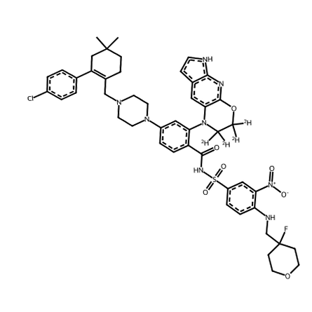 [2H]C1([2H])Oc2nc3[nH]ccc3cc2N(c2cc(N3CCN(CC4=C(c5ccc(Cl)cc5)CC(C)(C)CC4)CC3)ccc2C(=O)NS(=O)(=O)c2ccc(NCC3(F)CCOCC3)c([N+](=O)[O-])c2)C1([2H])[2H]